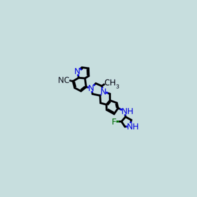 CC1CN(C2=CC=C(C#N)C3N=CC=CC23)CC2Cc3ccc(NC4CNCC4F)cc3CN12